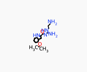 CC(C)Oc1cccc2[nH]c(C(=O)N=C(N)NCCCN)cc12